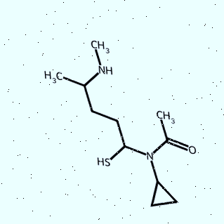 CNC(C)CCC(S)N(C(C)=O)C1CC1